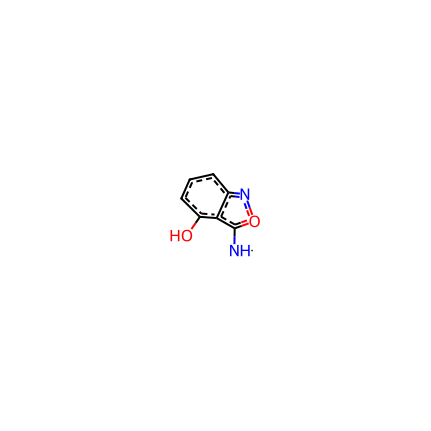 [NH]c1onc2cccc(O)c12